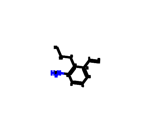 C=Cc1cccc(N)c1CCC